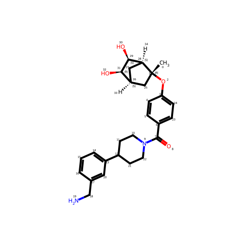 C[C@@]1(Oc2ccc(C(=O)N3CCC(c4cccc(CN)c4)CC3)cc2)C[C@@H]2C[C@H]1[C@H](O)[C@@H]2O